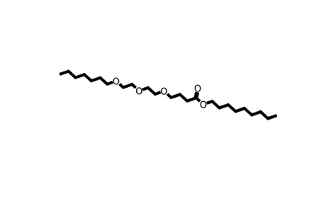 CCCCCCCCCOC(=O)CCCOCCOCCOCCCCCCC